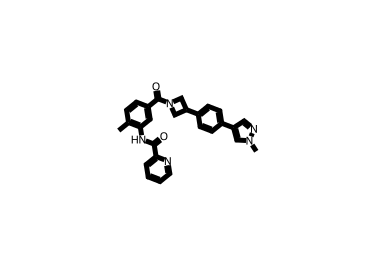 Cc1ccc(C(=O)N2CC(c3ccc(-c4cnn(C)c4)cc3)C2)cc1NC(=O)c1ccccn1